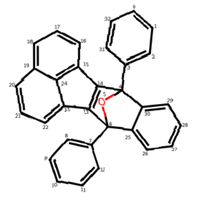 c1ccc(C23OC(c4ccccc4)(C4=C2c2cccc5cccc4c25)c2ccccc23)cc1